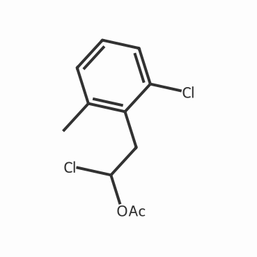 CC(=O)OC(Cl)Cc1c(C)cccc1Cl